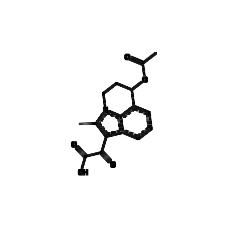 CC(=O)OC1CCn2c(C)c(C(=O)C(=O)O)c3cccc1c32